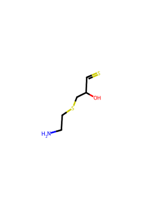 NCCSCC(O)C=S